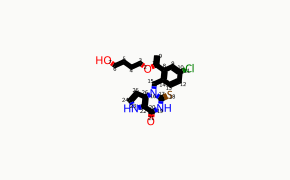 C=C(OCCCCO)c1cc(Cl)ccc1Cn1c(=S)[nH]c(=O)c2[nH]ccc21